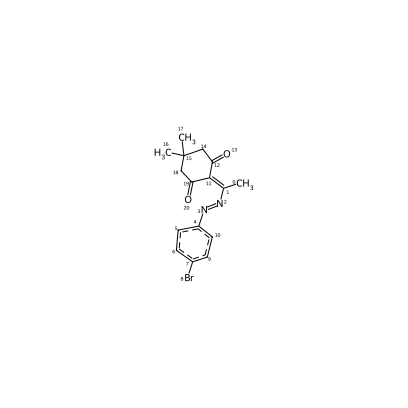 CC(N=Nc1ccc(Br)cc1)=C1C(=O)CC(C)(C)CC1=O